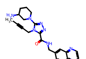 CC#CCn1c(C(=O)NCc2ccc3nccnc3c2)nnc1N1CCCC(N)C1